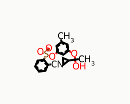 Cc1cc(OC(C)(O)C2CC2)cc(OS(=O)(=O)c2ccccc2C#N)c1